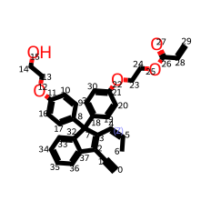 C#CC1=C(/C=C\C)C(c2ccc(OCCO)cc2)(c2ccc(OCCOC(=O)C=C)cc2)c2ccccc21